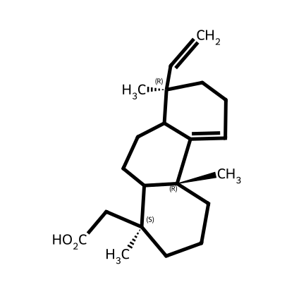 C=C[C@@]1(C)CCC=C2C1CCC1[C@](C)(CC(=O)O)CCC[C@@]21C